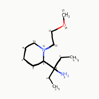 CCC(N)(CC)C1CCCCN1CCOC